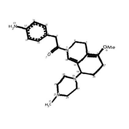 COC1=C2CCN(C(=O)Cc3ccc(N)cc3)C=C2C(N2CCN(C)CC2)CC1